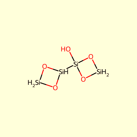 O[Si]1([SiH]2O[SiH2]O2)O[SiH2]O1